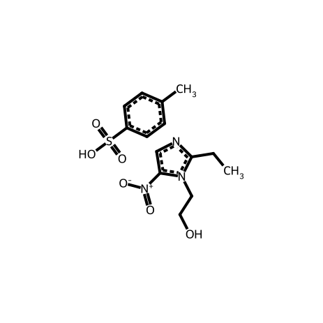 CCc1ncc([N+](=O)[O-])n1CCO.Cc1ccc(S(=O)(=O)O)cc1